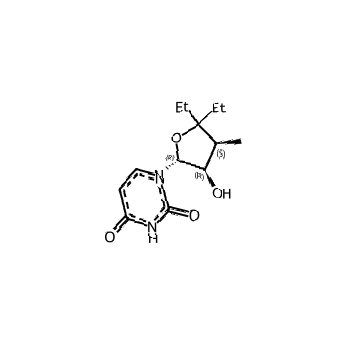 CCC1(CC)O[C@@H](n2ccc(=O)[nH]c2=O)[C@H](O)[C@@H]1C